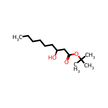 CCCCCCC(O)CC(=O)OC(C)(C)C